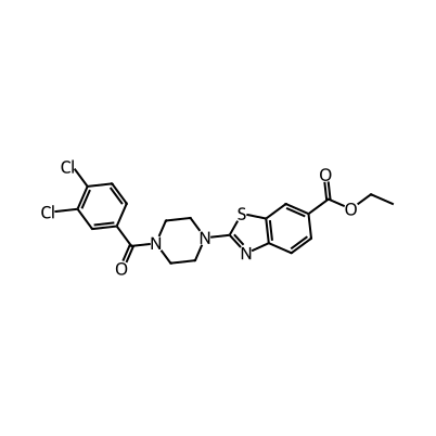 CCOC(=O)c1ccc2nc(N3CCN(C(=O)c4ccc(Cl)c(Cl)c4)CC3)sc2c1